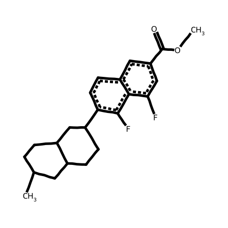 COC(=O)c1cc(F)c2c(F)c(C3CCC4CC(C)CCC4C3)ccc2c1